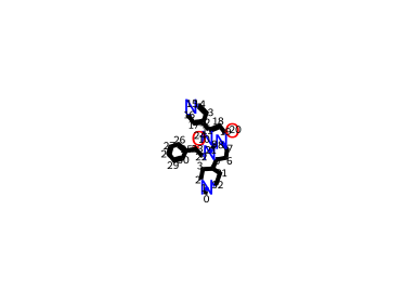 CN1CCC(C2CCn3c(nc(-c4ccncc4)cc3=O)N2CC(=O)c2ccccc2)CC1